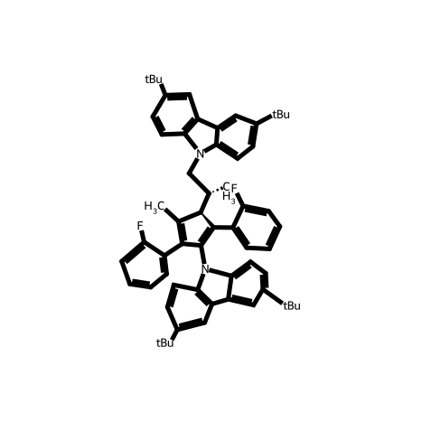 CC1=C(c2ccccc2F)C(n2c3ccc(C(C)(C)C)cc3c3cc(C(C)(C)C)ccc32)=C(c2ccccc2F)[C@@H]1[C@@H](C)Cn1c2ccc(C(C)(C)C)cc2c2cc(C(C)(C)C)ccc21